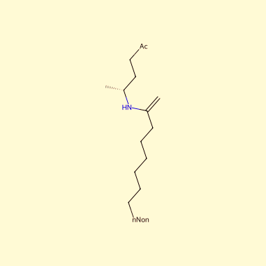 C=C(CCCCCCCCCCCCCCC)N[C@H](C)CCC(C)=O